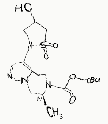 C[C@H]1Cn2ncc(N3CC(O)CS3(=O)=O)c2CN1C(=O)OC(C)(C)C